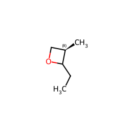 CCC1OC[C@H]1C